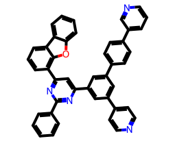 c1ccc(-c2nc(-c3cc(-c4ccncc4)cc(-c4ccc(-c5cccnc5)cc4)c3)cc(-c3cccc4c3oc3ccccc34)n2)cc1